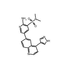 CN(C)S(=O)(=O)c1cc(-c2ccc3nccc(-c4cn[nH]c4)c3c2)cnc1N